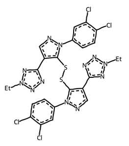 CCn1nnc(-c2cnn(-c3ccc(Cl)c(Cl)c3)c2SSc2c(-c3nnn(CC)n3)cnn2-c2ccc(Cl)c(Cl)c2)n1